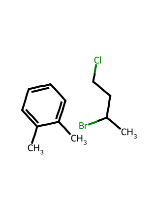 CC(Br)CCCl.Cc1ccccc1C